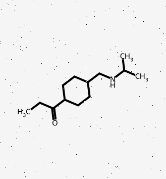 CCC(=O)C1CCC(CNC(C)C)CC1